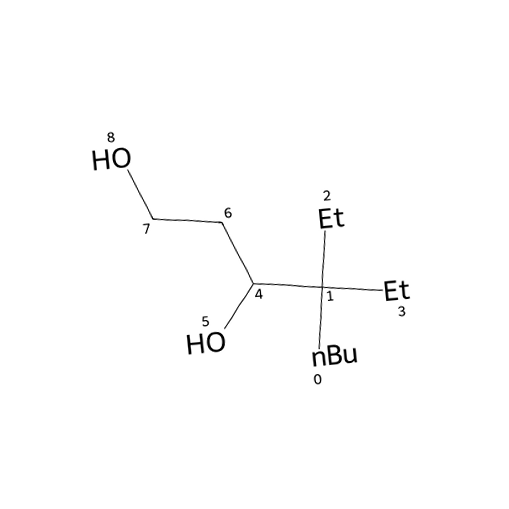 CCCCC(CC)(CC)C(O)CCO